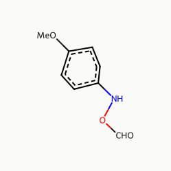 COc1ccc(NOC=O)cc1